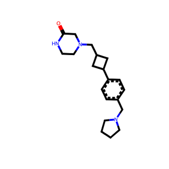 O=C1CN(CC2CC(c3ccc(CN4CCCC4)cc3)C2)CCN1